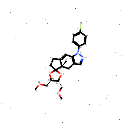 COC[C@H]1OC2(CCC3=Cc4c(cnn4-c4ccc(F)cc4)C[C@@]32C)O[C@@H]1COC